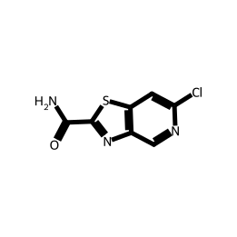 NC(=O)c1nc2cnc(Cl)cc2s1